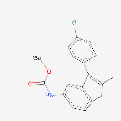 CC1=C(c2ccc(Cl)cc2)c2cc(NC(=O)OC(C)(C)C)ccc2C1